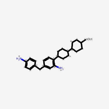 CCCCCCCCC1CCC(C2CCC(c3ccc(Cc4ccc(N)cc4)cc3N)CC2)CC1